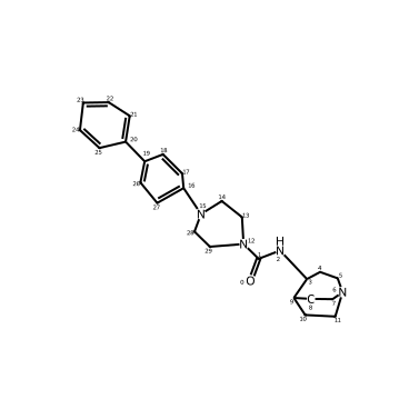 O=C(NC1CCN2CCC1CC2)N1CCN(c2ccc(-c3ccccc3)cc2)CC1